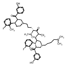 Cc1c(F)cccc1C1[CH]CN(CCC[C@H](C(=O)C(C)CC2CN(CCCCN(C)C)CC(C(=O)c3cccc(O)c3)C2c2cccc(F)c2C)N(C)C)CC1C(=O)c1cccc(O)c1